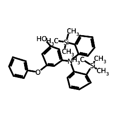 C[Si](C)(C)c1ccccc1N(c1cc(O)cc(Oc2ccccc2)c1)c1ccccc1[Si](C)(C)C